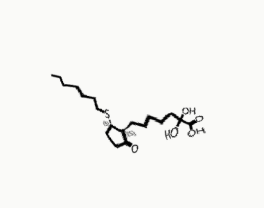 CCCCCCCS[C@H]1CCC(=O)[C@@H]1CCCCCC(O)(O)C(=O)O